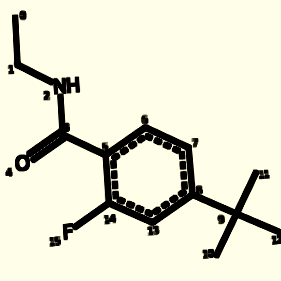 CCNC(=O)c1ccc(C(C)(C)C)cc1F